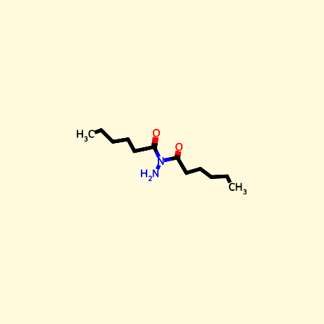 CCCCCC(=O)N(N)C(=O)CCCCC